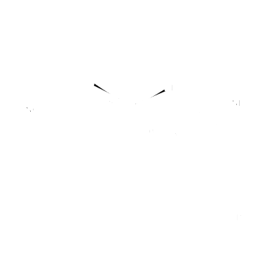 BCCCCB(OCN)[C@@H]1CC[C@]2(c3cccc(C#N)c3)C[C@H]12